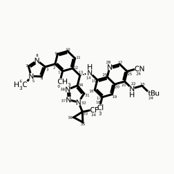 Cc1c(-c2cn(C)cn2)cccc1[C@H](Nc1cc(Cl)cc2c(NCC(C)(C)C)c(C#N)cnc12)c1cn(C2(C(F)(F)F)CC2)nn1